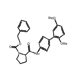 COc1ccc(OC)c(-c2ccc(NC(=O)C3CCCN3C(=O)OCc3ccccc3)cc2)c1